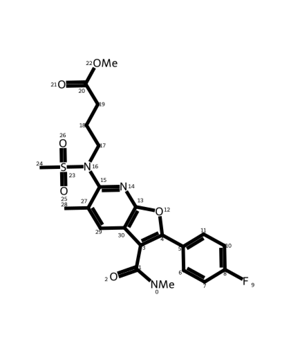 CNC(=O)c1c(-c2ccc(F)cc2)oc2nc(N(CCCC(=O)OC)S(C)(=O)=O)c(C)cc12